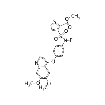 COC(=O)c1sccc1S(=O)(=O)N(F)c1ccc(Oc2ccnc3cc(OC)c(OC)cc23)cc1